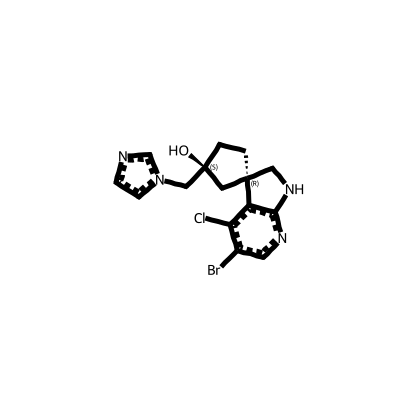 O[C@@]1(Cn2ccnc2)CC[C@@]2(CNc3ncc(Br)c(Cl)c32)C1